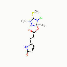 CSC1N(C)NC(C)(OC(=O)CCC2C=CC(=O)N2)N1Cl